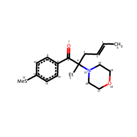 CC=CCC(CC)(C(=O)c1ccc(SC)cc1)N1CCOCC1